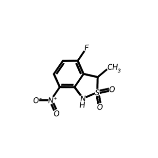 CC1c2c(F)ccc([N+](=O)[O-])c2NS1(=O)=O